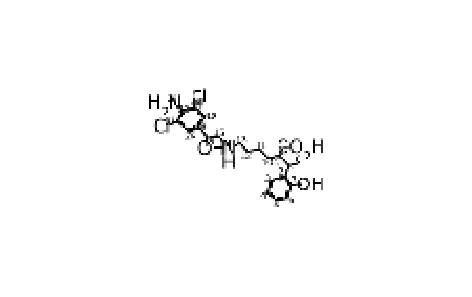 CC(c1ccccc1O)C(CCCCNCC(O)c1cc(Cl)c(N)c(Cl)c1)C(=O)O